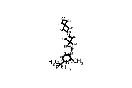 Cc1nc(C(C)(C)F)ccc1SN1CC2(C1)CN(C1CC3(COC3)C1)C2